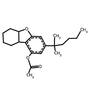 CCCCC(C)(C)c1cc(OC(C)=O)c2c(c1)OC1CCCCC21